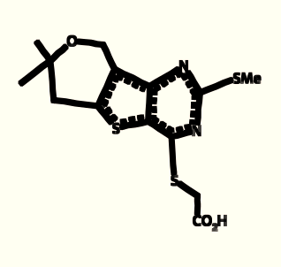 CSc1nc(SCC(=O)O)c2sc3c(c2n1)COC(C)(C)C3